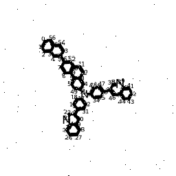 c1ccc2cc(-c3ccc4c(ccc5cc(N(c6ccc(-c7cnc8ccccc8c7)cc6)c6ccc(-c7cnc8ccccc8c7)cc6)ccc54)c3)ccc2c1